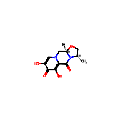 C[C@H]1CO[C@@H]2Cn3cc(O)c(=O)c(O)c3C(=O)N12